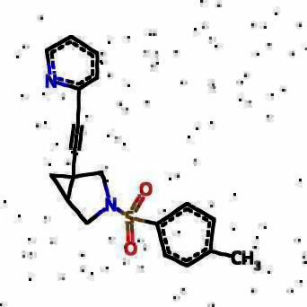 Cc1ccc(S(=O)(=O)N2CC3CC3(C#Cc3ccccn3)C2)cc1